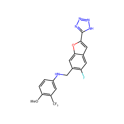 COc1ccc(NCc2cc3oc(-c4nnn[nH]4)cc3cc2F)cc1C(F)(F)F